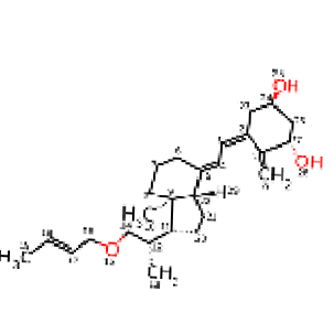 C=C1/C(=C\C=C2/CCC[C@]3(C)[C@@H]([C@H](C)COC/C=C/C)CC[C@@H]23)C[C@@H](O)C[C@@H]1O